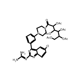 CC(=O)OCC(OC(C)=O)C(OC(C)=O)C(OC(C)=O)C(OC(C)=O)C(=O)N1CCN(c2cccc(-c3nc(N=C(N)N)nc4ccc(Cl)cc34)c2)CC1